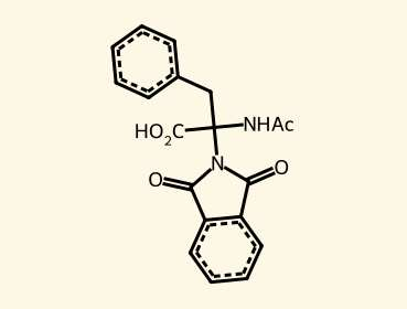 CC(=O)NC(Cc1ccccc1)(C(=O)O)N1C(=O)c2ccccc2C1=O